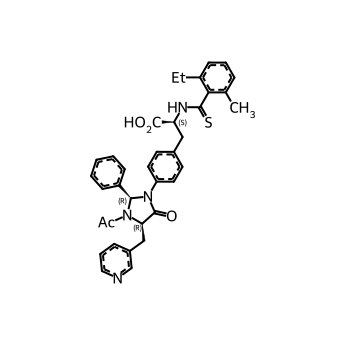 CCc1cccc(C)c1C(=S)N[C@@H](Cc1ccc(N2C(=O)[C@@H](Cc3cccnc3)N(C(C)=O)[C@H]2c2ccccc2)cc1)C(=O)O